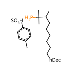 CCCCCCCCCCCCCCCCC(C)C(C)(C)P.Cc1ccc(S(=O)(=O)O)cc1